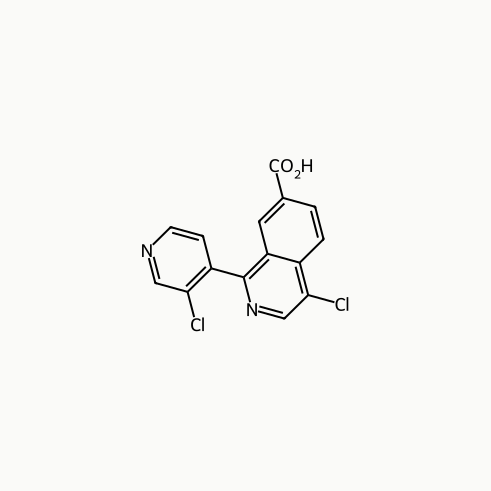 O=C(O)c1ccc2c(Cl)cnc(-c3ccncc3Cl)c2c1